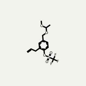 C=CCc1cc(COC(C)OC)ccc1OS(=O)(=O)C(F)(F)F